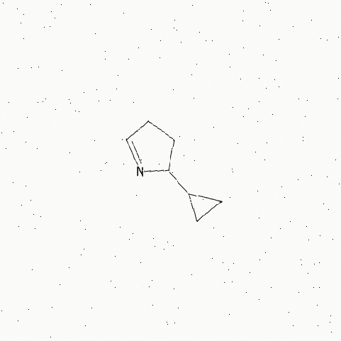 [C]1=NC(C2CC2)CC1